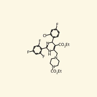 CCOC(=O)C1=C(CN2CCN(C(=O)OCC)CC2)NC(c2c(F)cc(F)cc2F)=NC1c1ccc(F)cc1Cl